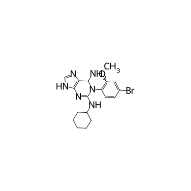 COc1cc(Br)ccc1N1C(NC2CCCCC2)=Nc2[nH]cnc2C1N